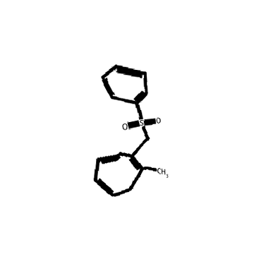 CC1=C(CS(=O)(=O)c2ccccc2)C=CC=CC1